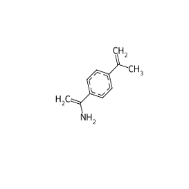 C=C(C)c1ccc(C(=C)N)cc1